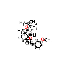 COc1cccc(CC[C@@]2(C)CCC[C@]3(C)[C@@H](OC(C)(C)C)C[C@@H]4O[C@]423)c1